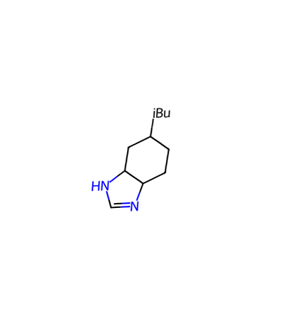 CCC(C)C1CCC2N=CNC2C1